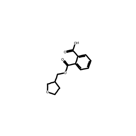 O=C(O)c1ccccc1C(=O)OCC1CCOC1